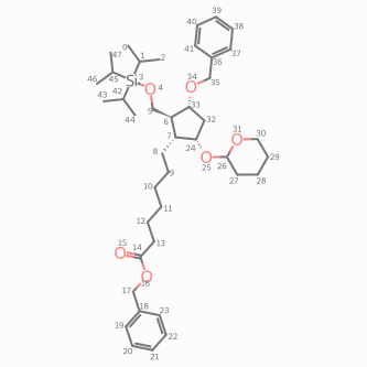 CC(C)[Si](OC[C@@H]1[C@@H](CCCCCCC(=O)OCc2ccccc2)[C@@H](OC2CCCCO2)C[C@H]1OCc1ccccc1)(C(C)C)C(C)C